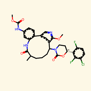 COC(=O)Nc1ccc2c(c1)NC(=O)C(C)CCCC(N1CC[C@H](c3c(F)ccc(Cl)c3F)OC1=O)c1cc-2cnc1OC